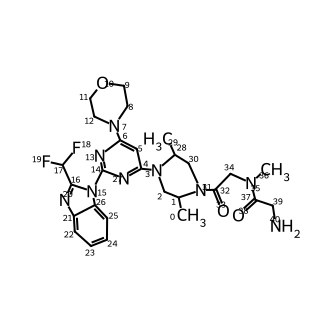 CC1CN(c2cc(N3CCOCC3)nc(-n3c(C(F)F)nc4ccccc43)n2)C(C)CN1C(=O)CN(C)C(=O)CN